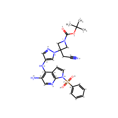 CC(C)(C)OC(=O)N1CC(CC#N)(n2cc(Nc3c(N)cnc4c3ccn4S(=O)(=O)c3ccccc3)cn2)C1